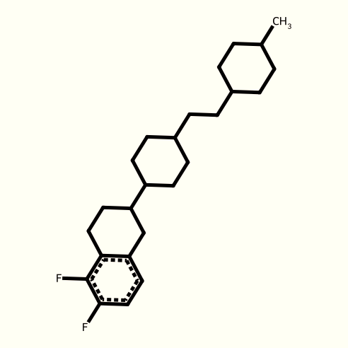 CC1CCC(CCC2CCC(C3CCc4c(ccc(F)c4F)C3)CC2)CC1